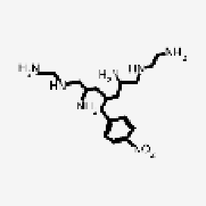 NCCNCC(N)CC(Cc1ccc([N+](=O)[O-])cc1)CC(N)CNCCN